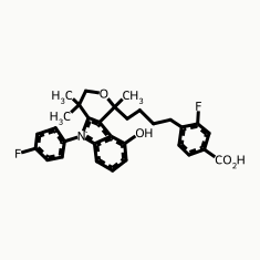 CC1(C)COC(C)(CCCCc2ccc(C(=O)O)cc2F)c2c1n(-c1ccc(F)cc1)c1cccc(O)c21